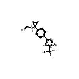 O=CNC1(c2ccc(-c3noc(C(F)(F)F)n3)cc2)CC1